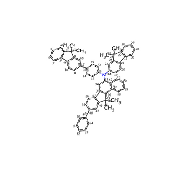 CC1(C)c2ccccc2-c2ccc(-c3ccc(N(c4ccc5c(c4)C(C)(C)c4ccccc4-5)c4cc5c(c6ccccc46)C(C)(C)c4cc(-c6ccccc6)ccc4-5)cc3)cc21